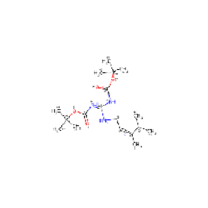 C/C(=C/CN/C(=N\C(=O)OC(C)(C)C)NC(=O)OC(C)(C)C)C(C)C